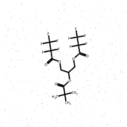 CC(C)(C)C(=O)OC(COC(=O)C(F)(F)C(F)(F)F)COC(=O)C(F)(F)C(F)(F)F